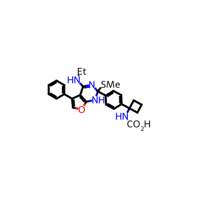 CCNC1=NC(SC)(c2ccc(C3(NC(=O)O)CCC3)cc2)Nc2occ(-c3ccccc3)c21